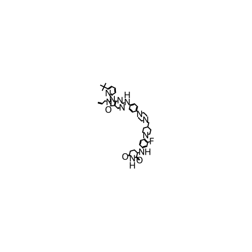 C=CCn1c(=O)c2cnc(Nc3ccc(N4CCN(CC5CCN(c6ccc(NC7CCC(=O)NC7=O)cc6F)CC5)CC4)cc3)nc2n1-c1cccc(C(C)(C)C)n1